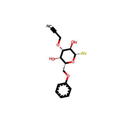 C#CCO[C@@H]1[C@@H](O)[C@H](S)O[C@H](COc2ccccc2)[C@@H]1O